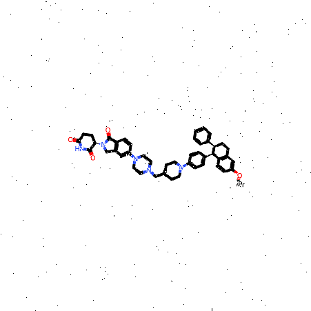 CC(C)Oc1ccc2c(c1)CC[C@H](c1ccccc1)[C@@H]2c1ccc(N2CCC(CN3CCN(c4ccc5c(c4)CN([C@H]4CCC(=O)NC4=O)C5=O)CC3)CC2)cc1